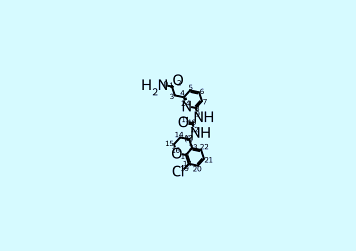 NC(=O)Cc1cccc(NC(=O)N[C@H]2CCOc3c(Cl)cccc32)n1